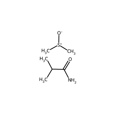 CC(C)C(N)=O.C[S+](C)[O-]